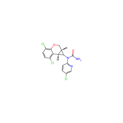 NC(=O)N(c1ccc(Cl)cn1)C1[C@H]2COc3c(Cl)ccc(Cl)c3[C@@H]12